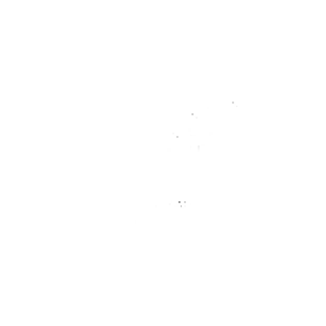 COc1ccccc1-c1ccc(N2CCN(C3CCNC3)S2(O)O)cc1